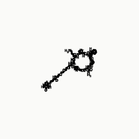 CC(C)C[C@@H]1NC(=O)[C@H](CCCCN)NC(=O)[C@@H](NC(=O)COCCOCCOCCNC(=O)CCCC[C@@H]2SC[C@@H]3NC(=O)N[C@@H]32)Cc2cn(nn2)CCCC[C@@H](C(N)=O)NC(=O)[C@@H]2CCCN2C(=O)[C@H](Cc2c[nH]c3ccccc23)NC(=O)CNC1=O